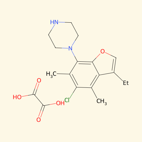 CCc1coc2c(N3CCNCC3)c(C)c(Cl)c(C)c12.O=C(O)C(=O)O